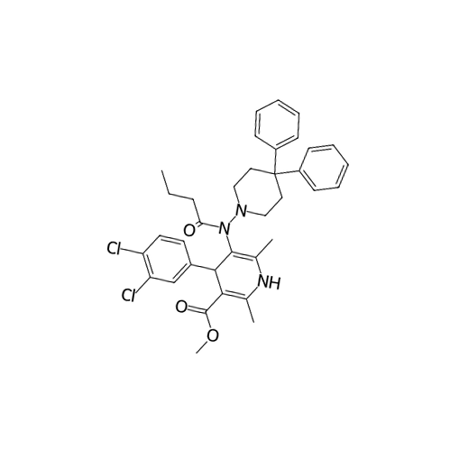 CCCC(=O)N(C1=C(C)NC(C)=C(C(=O)OC)C1c1ccc(Cl)c(Cl)c1)N1CCC(c2ccccc2)(c2ccccc2)CC1